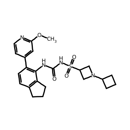 COc1cc(-c2ccc3c(c2NC(=O)NS(=O)(=O)C2CN(C4CCC4)C2)CCC3)ccn1